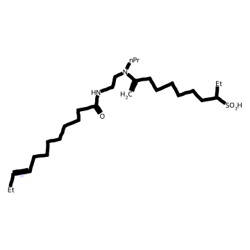 C=C(CCCCCCC(CC)S(=O)(=O)O)N(CCC)CCNC(=O)CCCCCCC/C=C/CC